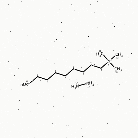 CCCCCCCCCCCCCCCC[N+](C)(C)C.NN